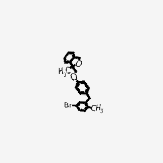 Cc1ccc(Br)cc1Cc1ccc(OCC2(C)OCc3ccccc32)cc1